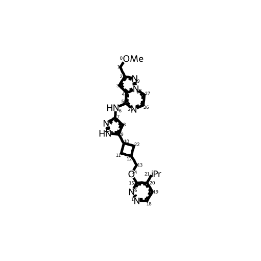 COCc1cc2c(Nc3cc(C4CC(COc5nnccc5C(C)C)C4)[nH]n3)nccn2n1